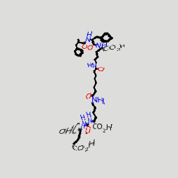 CC(Cc1ccccc1)C(=O)NC(Cc1ccccc1)C(=O)NC(CCCCNC(=O)CCCCCCC(=O)NCCCC[C@H](NC(=O)N[C@H](C=O)CCC(=O)O)C(=O)O)C(=O)O